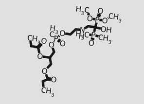 CCC(=O)OCC(COP(C)(=O)OCCNCC(O)(P(C)(C)=O)P(=O)(OC)OC)OC(=O)CC